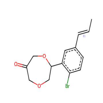 C/C=C/c1ccc(Br)c(C2COCC(=O)CO2)c1